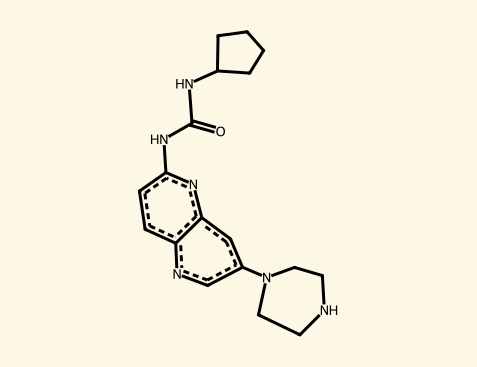 O=C(Nc1ccc2ncc(N3CCNCC3)cc2n1)NC1CCCC1